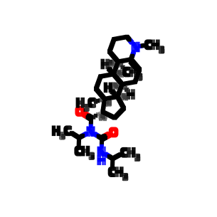 CC(C)NC(=O)N(C(=O)[C@H]1CC[C@H]2[C@@H]3CC=C4N(C)CCC[C@]4(C)[C@H]3CC[C@]12C)C(C)C